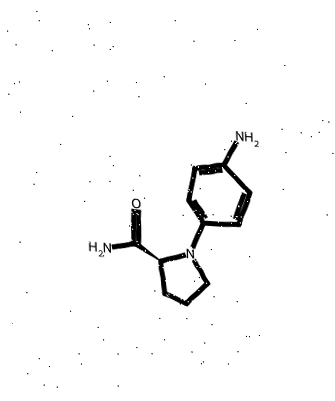 NC(=O)[C@@H]1CCCN1c1ccc(N)cc1